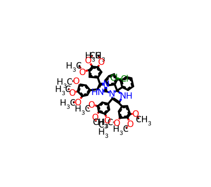 COc1cc(C2=C(c3cc(OC)c(OC)c(OC)c3)N(c3nc(-c4cc(OC)c(OC)c(OC)c4)c(-c4cc(OC)c(OC)c(OC)c4)[nH]3)C(c3ccccc3Cl)(c3ccccc3Cl)N2)cc(OC)c1OC